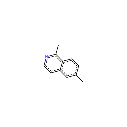 Cc1[c]c2ccnc(C)c2cc1